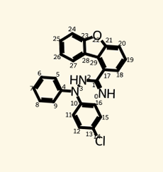 N=C(NN(c1ccccc1)c1ccc(Cl)cc1)c1cccc2oc3ccccc3c12